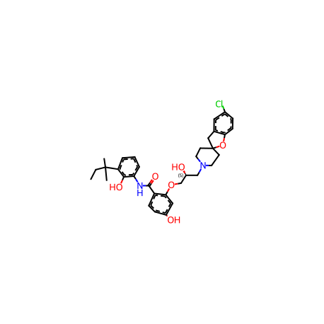 CCC(C)(C)c1cccc(NC(=O)c2ccc(O)cc2OC[C@@H](O)CN2CCC3(CC2)Cc2cc(Cl)ccc2O3)c1O